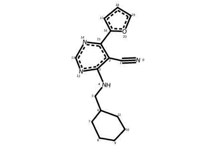 N#Cc1c(NCC2CCCCC2)ncnc1-c1ccco1